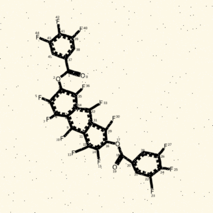 O=C(Oc1c(F)c(F)c2c(F)c3c(F)c(F)c(OC(=O)c4cc(F)c(F)c(F)c4)c(F)c3c(F)c2c1F)c1cc(F)c(F)c(F)c1